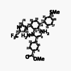 COC(=O)c1ccc(/C(=C/N)N(N)c2cc(-c3cccc(SC)c3)ccc2-n2cc(C(F)(F)F)nc2C)cc1